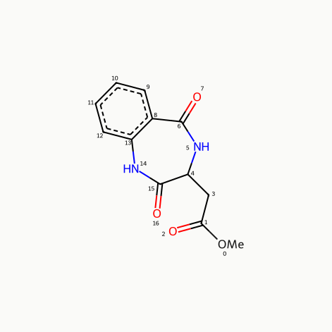 COC(=O)CC1NC(=O)c2ccccc2NC1=O